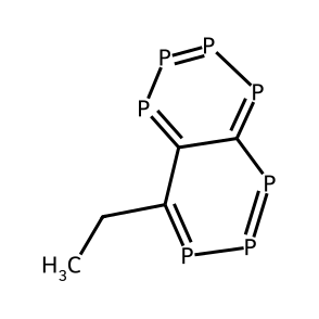 CCc1pppc2ppppc12